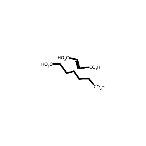 O=C(O)C=CC(=O)O.O=C(O)CCCCCC(=O)O